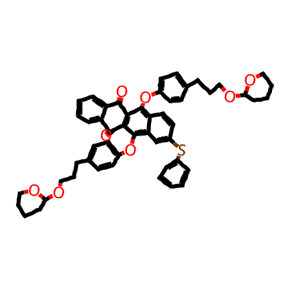 O=C1c2ccccc2C(=O)c2c1c(Oc1ccc(CCCOC3CCCCO3)cc1)c1ccc(Sc3ccccc3)cc1c2Oc1ccc(CCCOC2CCCCO2)cc1